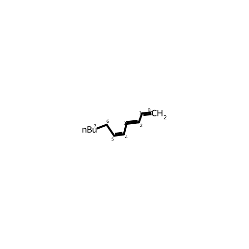 C=C/C=C/C=C\CCCCC